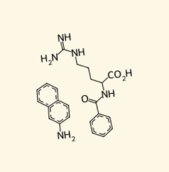 N=C(N)NCCCC(NC(=O)c1ccccc1)C(=O)O.Nc1ccc2ccccc2c1